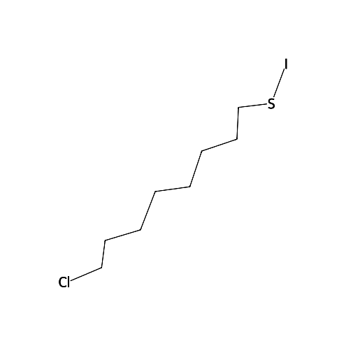 ClCCCCCCCCSI